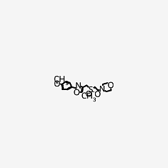 COc1ccc(-c2nc(C[S+]([O-])CC(=O)N3CCOCC3)c(C)o2)cc1